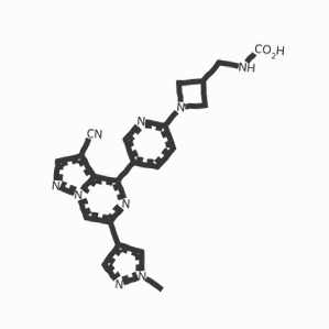 Cn1cc(-c2cn3ncc(C#N)c3c(-c3ccc(N4CC(CNC(=O)O)C4)nc3)n2)cn1